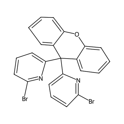 Brc1cccc(C2(c3cccc(Br)n3)c3ccccc3Oc3ccccc32)n1